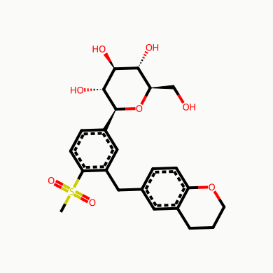 CS(=O)(=O)c1ccc([C@@H]2O[C@H](CO)[C@@H](O)[C@H](O)[C@H]2O)cc1Cc1ccc2c(c1)CCCO2